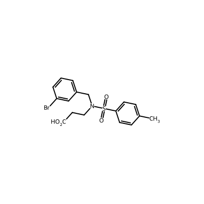 Cc1ccc(S(=O)(=O)N(CCC(=O)O)Cc2cccc(Br)c2)cc1